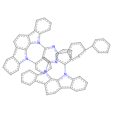 c1ccc(-c2ccc(-c3nc(-n4c5ccccc5c5ccc6c7ccccc7n(-c7ccccc7)c6c54)cc(-n4c5ccccc5c5ccc6c7ccccc7n(-c7ccccc7)c6c54)n3)cc2)cc1